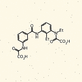 CCc1c(NC(=O)c2cccc(NC(=O)C(=O)O)c2)cccc1N(CC)C(=O)C(=O)O